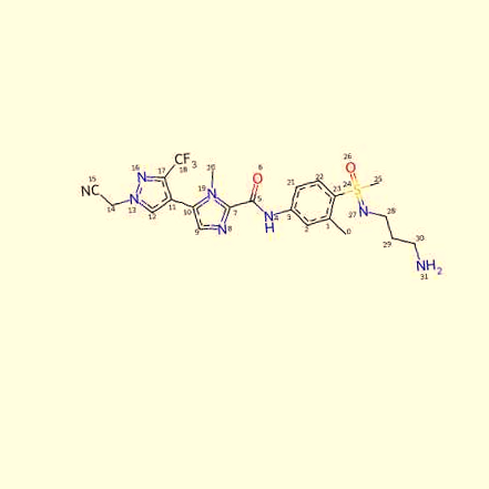 Cc1cc(NC(=O)c2ncc(-c3cn(CC#N)nc3C(F)(F)F)n2C)ccc1S(C)(=O)=NCCCN